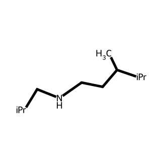 CC(C)CNCCC(C)C(C)C